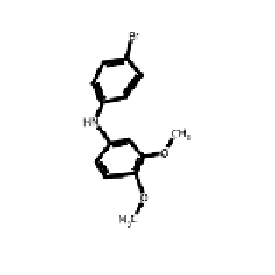 COc1ccc(Nc2ccc(Br)cc2)cc1OC